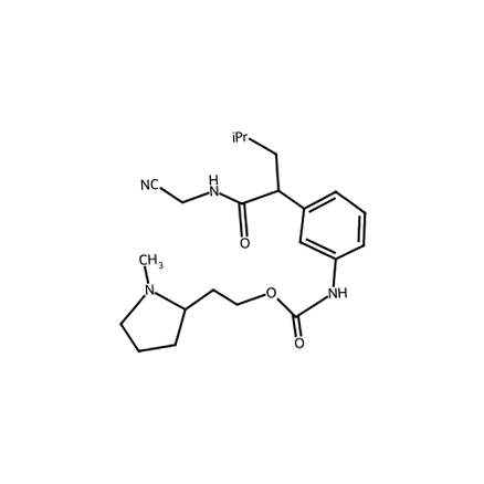 CC(C)CC(C(=O)NCC#N)c1cccc(NC(=O)OCCC2CCCN2C)c1